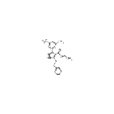 CCOC(=O)c1c(-c2nc(C)cc(C)n2)n[nH]c1SCc1ccccc1